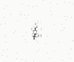 C[C@]12C=C[C@H](O)CC1C=CC1C2CC[C@@]2(C)C1CC[C@@]2(O)[C]#[Cr]